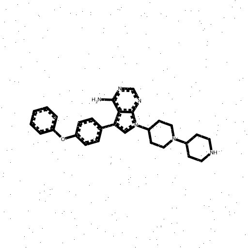 Nc1ncnc2c1c(-c1ccc(Oc3ccccc3)cc1)cn2C1CCN(C2CCNCC2)CC1